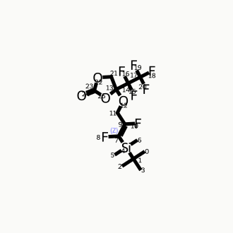 CC(C)(C)[Si](C)(C)/C(F)=C(\F)COC1(C(F)(F)C(F)(F)F)COC(=O)O1